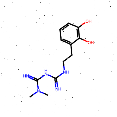 CN(C)C(=N)NC(=N)NCCc1cccc(O)c1O